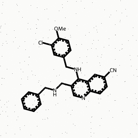 COc1ccc(CNc2c(CNCc3ccccc3)cnc3ccc(C#N)cc23)cc1Cl